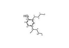 CCCCc1cc(C(C)CCC)ccc1O